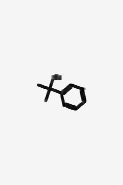 CCCCC(C)(C)c1c[c]ccc1